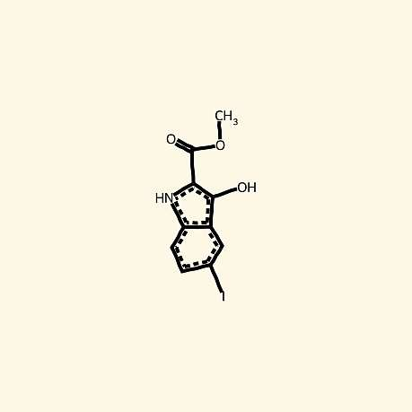 COC(=O)c1[nH]c2ccc(I)cc2c1O